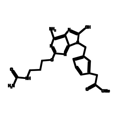 COC(=O)Cc1cccc(Cn2c(O)nc3c(N)nc(OCCCNC(N)=O)nc32)c1